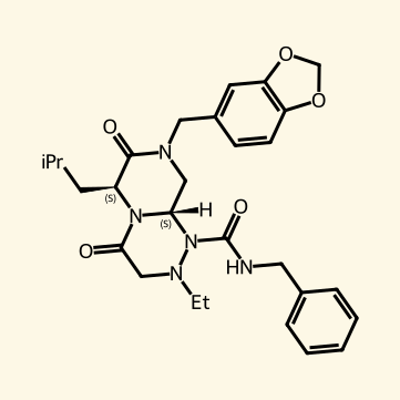 CCN1CC(=O)N2[C@@H](CC(C)C)C(=O)N(Cc3ccc4c(c3)OCO4)C[C@@H]2N1C(=O)NCc1ccccc1